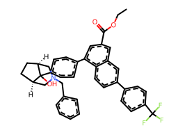 CCOC(=O)c1cc(-c2ccc(C3(O)[C@@H]4CC[C@H]3CN(Cc3ccccc3)C4)cc2)c2ccc(-c3ccc(C(F)(F)F)cc3)cc2c1